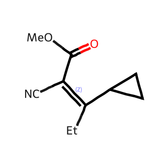 CC/C(=C(\C#N)C(=O)OC)C1CC1